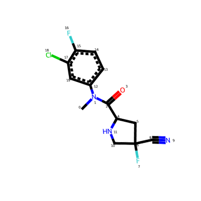 CN(C(=O)C1CC(F)(C#N)CN1)c1ccc(F)c(Cl)c1